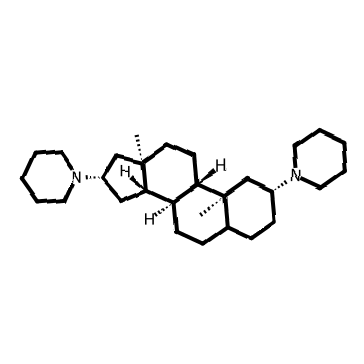 C[C@]12CC[C@H]3[C@@H](CCC4CC[C@@H](N5CCCCC5)C[C@@]43C)[C@@H]1C[C@H](N1CCCCC1)C2